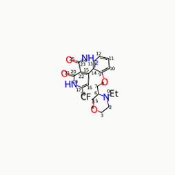 CCN1CCOCC1COc1ccccc1-c1cc(C(F)(F)F)[nH]c(=O)c1C(N)=O